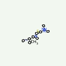 Cc1ccccc1-c1cc(-c2ccc3c(c2)c2ccccc2n3-c2ccc3sc4cc(-c5nc(-c6ccccc6)nc(-c6ccccc6)n5)ccc4c3c2)ccc1/C=C/c1ccccc1